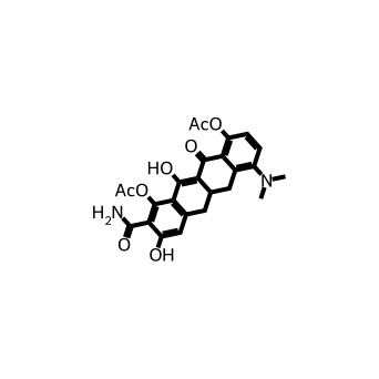 CC(=O)Oc1ccc(N(C)C)c2c1C(=O)C1=C(O)c3c(cc(O)c(C(N)=O)c3OC(C)=O)CC1C2